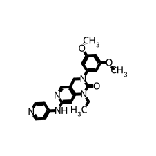 CCN1C(=O)N(c2cc(OC)cc(OC)c2)Cc2cnc(Nc3ccncc3)cc21